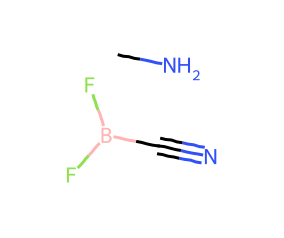 CN.N#CB(F)F